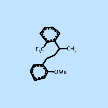 [CH2]C(CCc1ccccc1OC)c1ccccc1C(F)(F)F